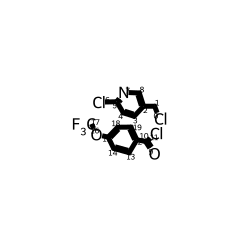 ClCc1ccc(Cl)nc1.O=C(Cl)c1ccc(OC(F)(F)F)cc1